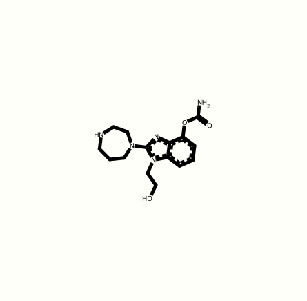 NC(=O)Oc1cccc2c1nc(N1CCCNCC1)n2CCO